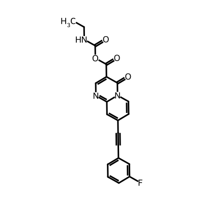 CCNC(=O)OC(=O)c1cnc2cc(C#Cc3cccc(F)c3)ccn2c1=O